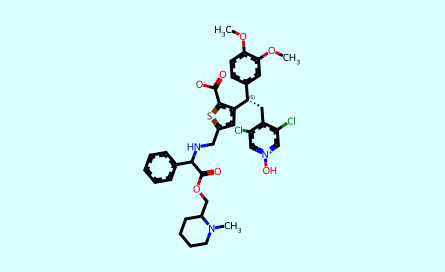 COc1ccc([C@H](Cc2c(Cl)c[n+](O)cc2Cl)c2cc(CNC(C(=O)OCC3CCCCN3C)c3ccccc3)sc2C(=O)[O-])cc1OC